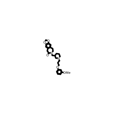 COc1cccc(OCCCN2CCCC(CN3CCc4cc5c(cc4CC3=O)OCO5)C2)c1